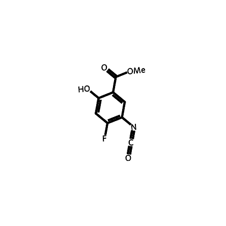 COC(=O)c1cc(N=C=O)c(F)cc1O